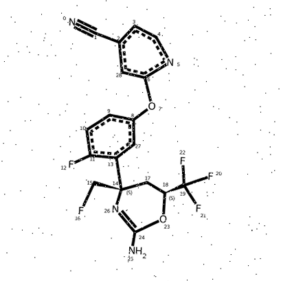 N#Cc1ccnc(Oc2ccc(F)c([C@]3(CF)C[C@@H](C(F)(F)F)OC(N)=N3)c2)c1